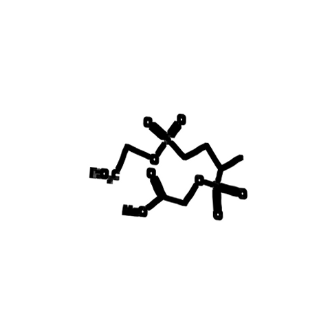 CCOC(=O)COS(=O)(=O)CCC(C)S(=O)(=O)OCC(=O)OC